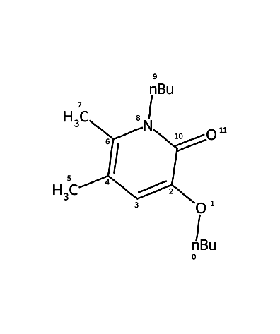 CCCCOc1cc(C)c(C)n(CCCC)c1=O